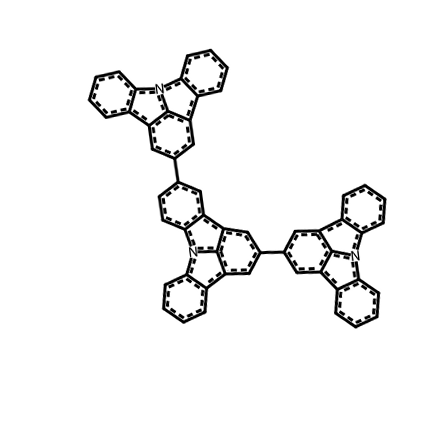 c1ccc2c(c1)c1cc(-c3ccc4c(c3)c3cc(-c5cc6c7ccccc7n7c8ccccc8c(c5)c67)cc5c6ccccc6n4c53)cc3c4ccccc4n2c13